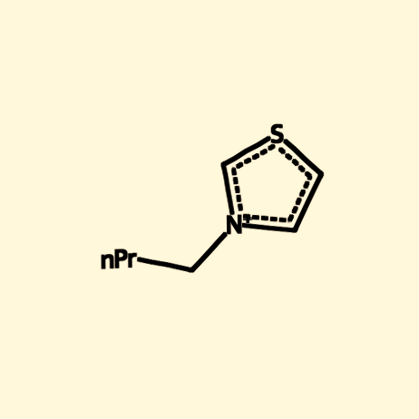 CCCC[n+]1ccsc1